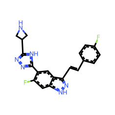 Fc1ccc(/C=C/c2n[nH]c3cc(F)c(-c4nnc(C5CNC5)[nH]4)cc23)cc1